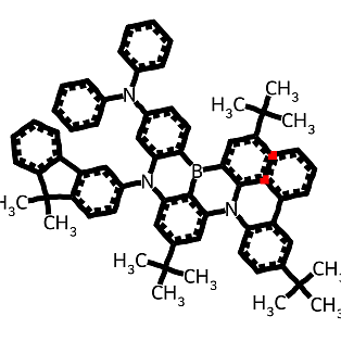 CC(C)(C)c1ccc2c(c1)B1c3ccc(N(c4ccccc4)c4ccccc4)cc3N(c3ccc4c(c3)-c3ccccc3C4(C)C)c3cc(C(C)(C)C)cc(c31)N2c1ccc(C(C)(C)C)cc1-c1ccccc1